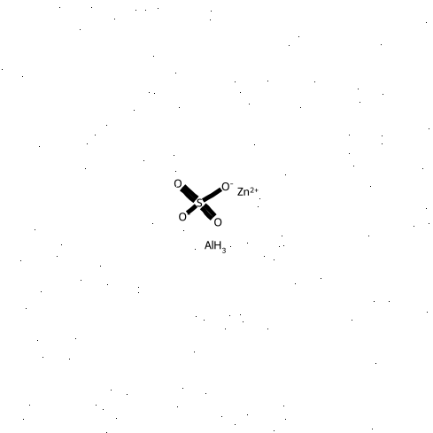 O=S(=O)([O-])[O-].[AlH3].[Zn+2]